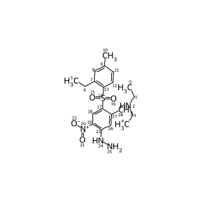 CCNCC.CCc1cc(C)ccc1S(=O)(=O)c1cc([N+](=O)[O-])c(NN)cc1C